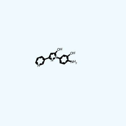 Nc1ccc(-n2nc(-c3cccnc3)cc2O)cc1O